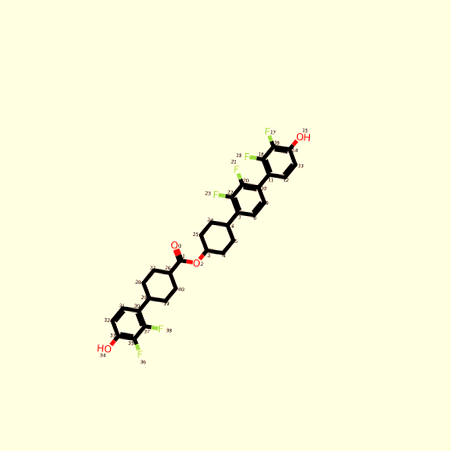 O=C(OC1CCC(c2ccc(-c3ccc(O)c(F)c3F)c(F)c2F)CC1)C1CCC(c2ccc(O)c(F)c2F)CC1